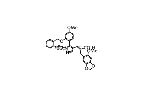 CCCCn1ncc(/C=C(\Cc2cc3c(cc2OC)OCO3)C(=O)O)c1-c1ccc(OC)cc1OCc1ccccc1C(=O)O